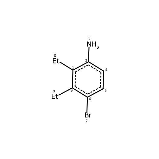 CCc1c(N)ccc(Br)c1CC